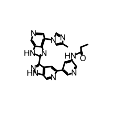 CCC(=O)Nc1cncc(-c2cc3c(-c4nc5c(-n6cnc(C)c6)cncc5[nH]4)n[nH]c3cn2)c1